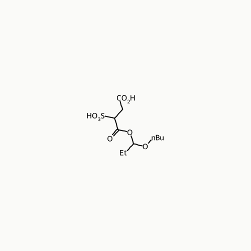 CCCCOC(CC)OC(=O)C(CC(=O)O)S(=O)(=O)O